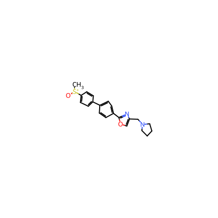 C[S+]([O-])c1ccc(-c2ccc(-c3nc(CN4CCCC4)co3)cc2)cc1